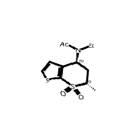 CCN(C(C)=O)[C@H]1C[C@H](C)S(=O)(=O)c2sccc21